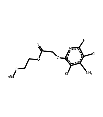 CCCCOCCOC(=O)COc1nc(F)c(Cl)c(N)c1Cl